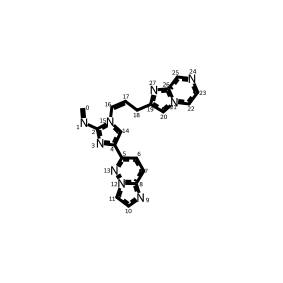 C=Nc1nc(-c2ccc3nccn3n2)cn1/C=C\Cc1cn2ccncc2n1